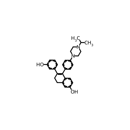 CC(C)N1CCN(c2ccc(C3=C(c4cccc(O)c4)CCc4cc(O)ccc43)cc2)CC1